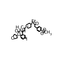 CCN(C(=O)Cc1ccc(S(C)(=O)=O)cc1)C1CCN(C(C)CC(NC(=O)OC2CCOCC2)c2cccc([123I])c2)CC1